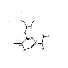 CC(CI)CC1=CC(C(C)CI)=CCC1C